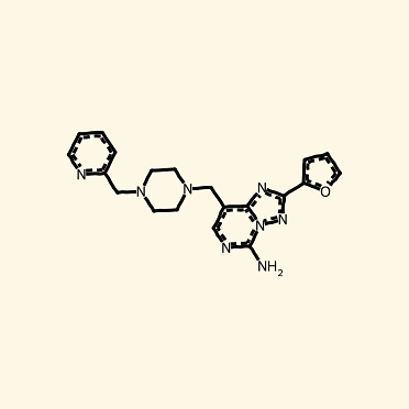 Nc1ncc(CN2CCN(Cc3ccccn3)CC2)c2nc(-c3ccco3)nn12